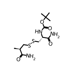 C[C@@H](CSSC[C@H](NC(=O)OC(C)(C)C)C(N)=O)C(N)=O